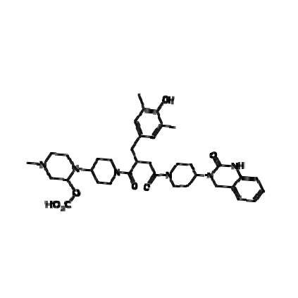 Cc1cc(CC(CC(=O)N2CCC(N3Cc4ccccc4NC3=O)CC2)C(=O)N2CCC(N3CCN(C)CC3OC(=O)O)CC2)cc(C)c1O